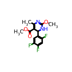 COC(=O)C1=C(C)N=C(OC)NC1c1cc(F)c(F)cc1F